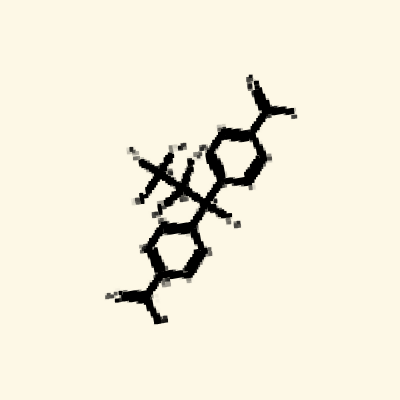 CC(=O)c1ccc(C(F)(c2ccc(C(C)=O)cc2)C(F)(F)C(F)(F)F)cc1